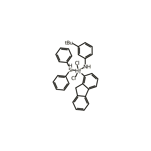 CC(C)(C)c1cccc([NH][Hf]([Cl])([Cl])([c]2cccc3c2Cc2ccccc2-3)[SiH](c2ccccc2)c2ccccc2)c1